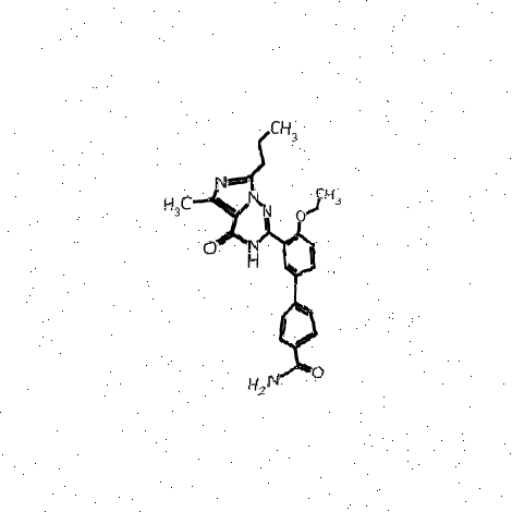 CCCc1nc(C)c2c(=O)[nH]c(-c3cc(-c4ccc(C(N)=O)cc4)ccc3OCC)nn12